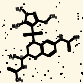 COc1nn(C)c(C)c1S(=O)(=O)N1CC([C@H](C)NC(C)=O)Oc2ccc(NC(=O)O)cc21